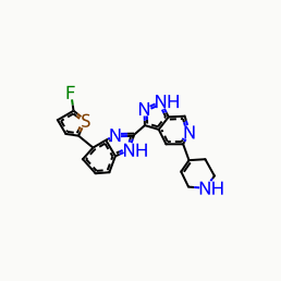 Fc1ccc(-c2cccc3[nH]c(-c4n[nH]c5cnc(C6=CCNCC6)cc45)nc23)s1